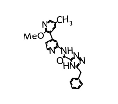 COc1ncc(C)cc1-c1ccnc(NC(=O)c2nnc(Cc3ccccc3)[nH]2)c1